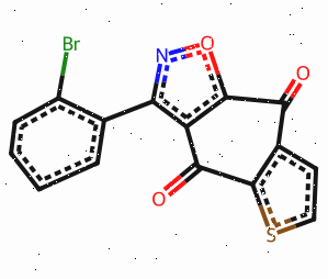 O=C1c2ccsc2C(=O)c2c(-c3ccccc3Br)noc21